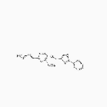 CCOC(=O)C=Cc1ccc(OCc2coc(-c3ccccc3)n2)c(OC)c1